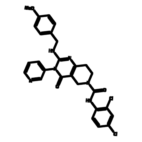 COc1ccc(CNc2nc3c(c(=O)n2-c2cccnc2)CN(C(=O)Nc2ccc(Cl)cc2Cl)CC3)cc1